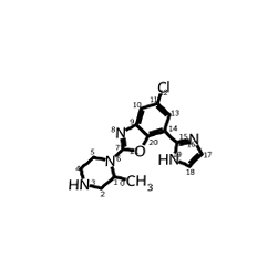 CC1CNCCN1c1nc2cc(Cl)cc(-c3ncc[nH]3)c2o1